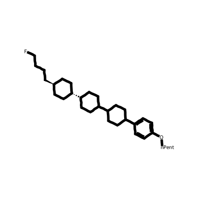 CCCCCOc1ccc(C2CCC(C3CCC([C@H]4CC[C@H](CCCCF)CC4)CC3)CC2)cc1